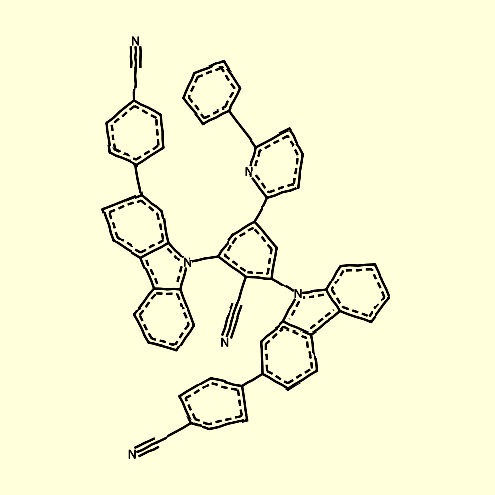 N#Cc1ccc(-c2ccc3c4ccccc4n(-c4cc(-c5cccc(-c6ccccc6)n5)cc(-n5c6ccccc6c6ccc(-c7ccc(C#N)cc7)cc65)c4C#N)c3c2)cc1